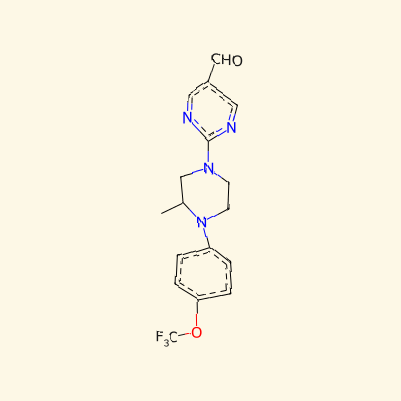 CC1CN(c2ncc(C=O)cn2)CCN1c1ccc(OC(F)(F)F)cc1